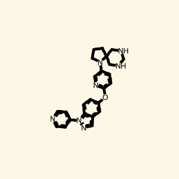 c1cc(-n2ncc3cc(Oc4ccc(N5CCCC56CNCNC6)cn4)ccc32)ccn1